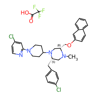 CN1C[C@H](Cc2ccc(Cl)cc2)N(C2CCN(c3cc(Cl)ccn3)CC2)C[C@@H]1COc1ccc2ccccc2c1.O=C(O)C(F)(F)F